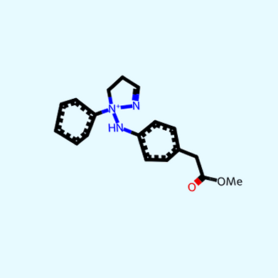 COC(=O)Cc1ccc(N[N+]2(c3ccccc3)CCC=N2)cc1